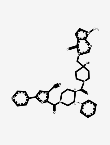 Cn1ccc2c(=O)n(CC3(O)CCN(C(=O)[C@@H]4CCN(C(=O)c5sc(-c6ccncc6)cc5C#N)C[C@H]4c4ccccc4)CC3)cnc21